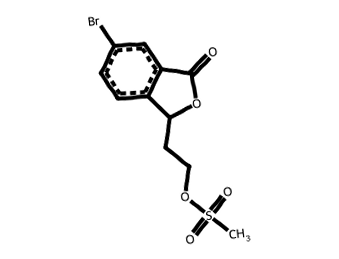 CS(=O)(=O)OCCC1OC(=O)c2cc(Br)ccc21